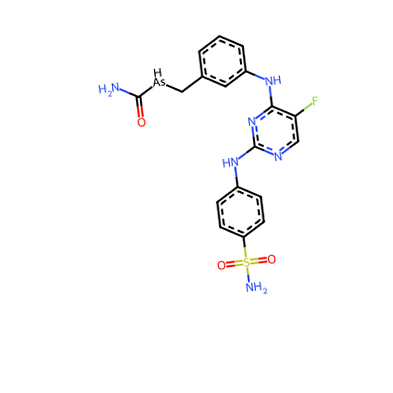 NC(=O)[AsH]Cc1cccc(Nc2nc(Nc3ccc(S(N)(=O)=O)cc3)ncc2F)c1